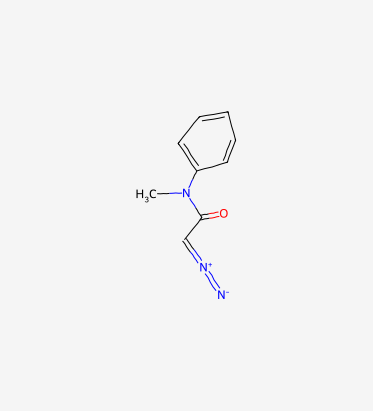 CN(C(=O)C=[N+]=[N-])c1ccccc1